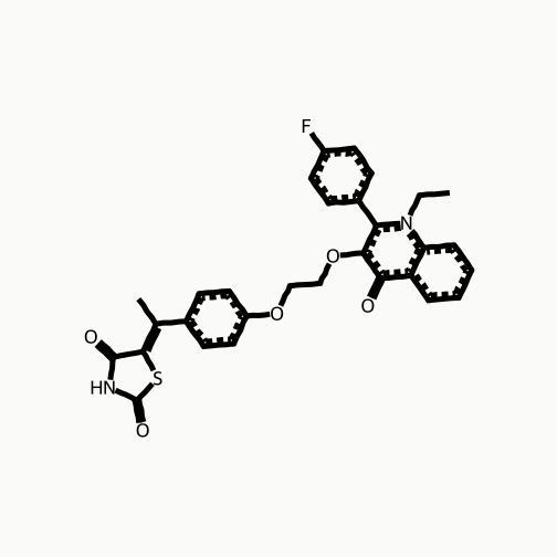 CCn1c(-c2ccc(F)cc2)c(OCCOc2ccc(C(C)=C3SC(=O)NC3=O)cc2)c(=O)c2ccccc21